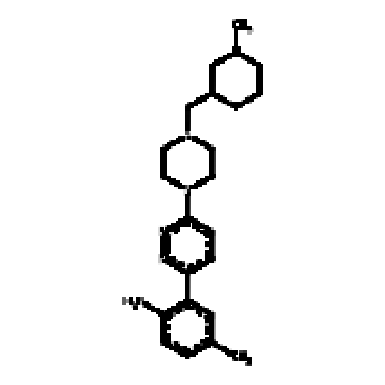 Cc1ccc(C)c(-c2ccc(N3CCN(CC4CCCN(C)C4)CC3)nn2)c1